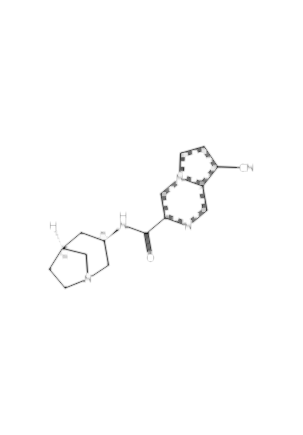 N#Cc1ccn2cc(C(=O)N[C@@H]3C[C@@H]4CCN(C4)C3)ncc12